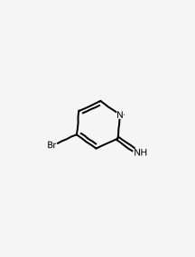 N=C1C=C(Br)C=C[N]1